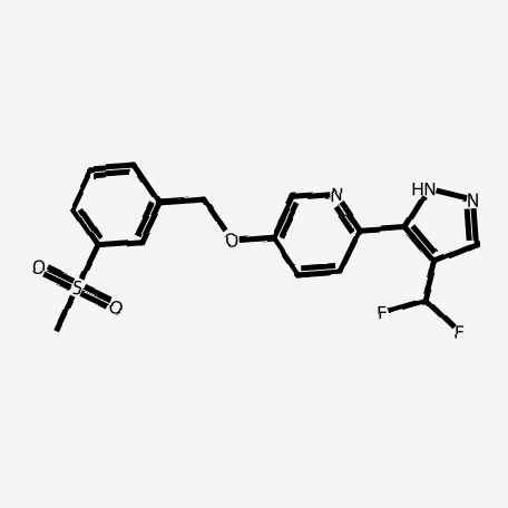 CS(=O)(=O)c1cccc(COc2ccc(-c3[nH]ncc3C(F)F)nc2)c1